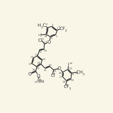 Cc1cc(C(F)(F)F)cc(OC(Cl)C=Cc2ccc(C(=O)OC(C)(C)C)c(C=CC(Cl)Oc3cc(C(F)(F)F)cc(C)c3I)c2)c1I